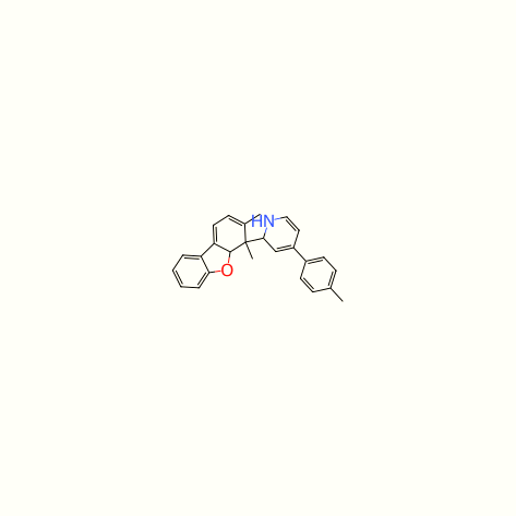 CC1=CC=C2c3ccccc3OC2C1(C)C1C=C(c2ccc(C)cc2)C=CN1